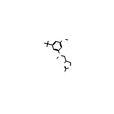 COc1cc(N(C)CC2COC(N)=N2)cc(C(F)(F)F)c1